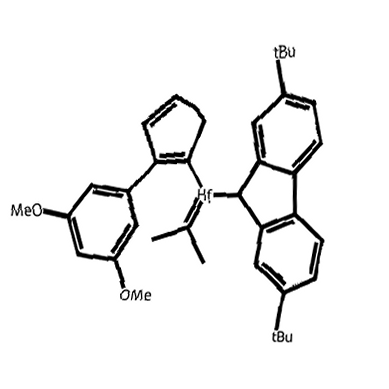 COc1cc(OC)cc(C2=[C]([Hf](=[C](C)C)[CH]3c4cc(C(C)(C)C)ccc4-c4ccc(C(C)(C)C)cc43)CC=C2)c1